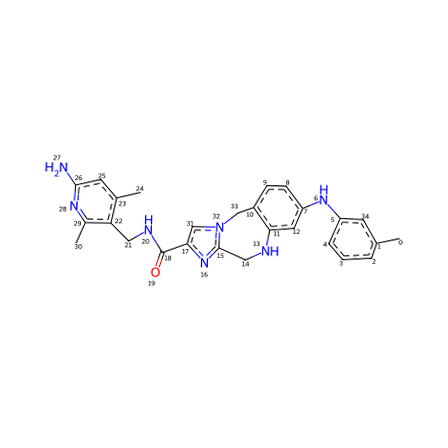 Cc1cccc(Nc2ccc3c(c2)NCc2nc(C(=O)NCc4c(C)cc(N)nc4C)cn2C3)c1